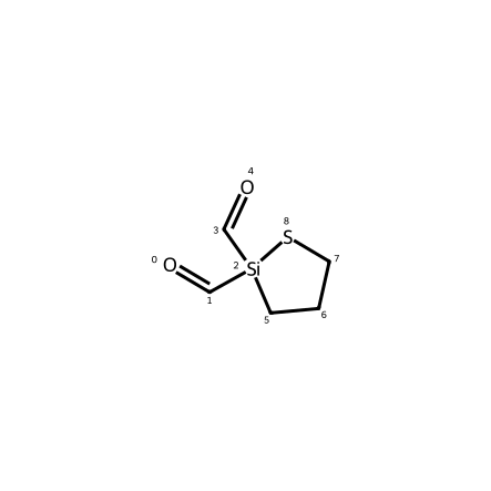 O=C[Si]1(C=O)CCCS1